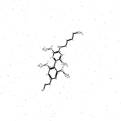 CCCCCNc1nc(C)c(-c2c(OC)cc(CCF)cc2OC)nc1OC